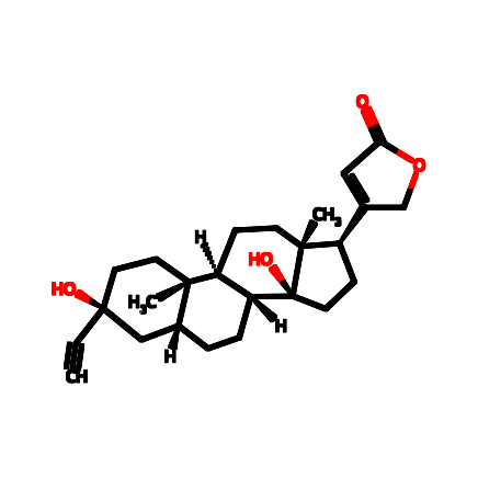 C#C[C@]1(O)CC[C@@]2(C)[C@H](CC[C@@H]3[C@@H]2CC[C@]2(C)[C@@H](C4=CC(=O)OC4)CC[C@]32O)C1